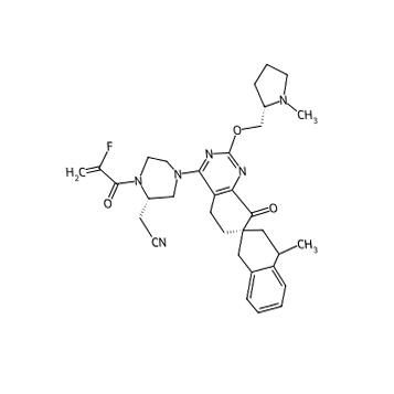 C=C(F)C(=O)N1CCN(c2nc(OC[C@@H]3CCCN3C)nc3c2CC[C@]2(Cc4ccccc4C(C)C2)C3=O)C[C@@H]1CC#N